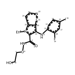 CCn1c(C(=O)NOCCO)c(Nc2ccc(I)cc2F)c2cnccc21